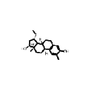 CC[C@H]1C[C@H](O)[C@@]2(C)CC[C@@H]3c4cc(C)c(O)cc4CC[C@H]3[C@H]12